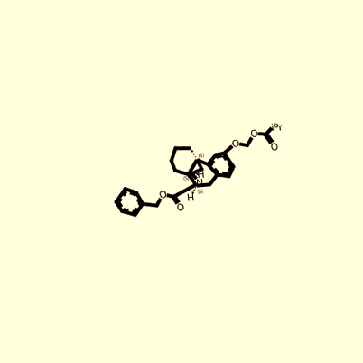 CC(C)C(=O)OCOc1ccc2c(c1)[C@]13CCCC[C@@H]1[C@H](C2)N(C(=O)OCc1ccccc1)CC3